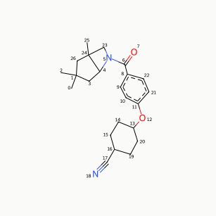 CC1(C)CC2N(C(=O)c3ccc(OC4CCC(C#N)CC4)cc3)CC2(C)C1